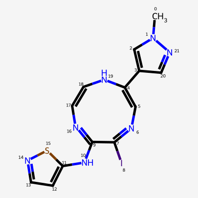 Cn1cc(-c2cnc(I)c(Nc3ccns3)ncc[nH]2)cn1